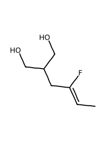 C/C=C(\F)CC(CO)CO